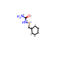 NC(=O)NSCC1CCCCC1